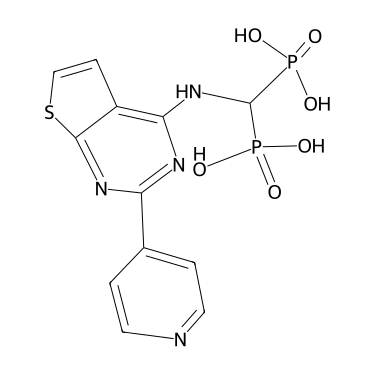 O=P(O)(O)C(Nc1nc(-c2ccncc2)nc2sccc12)P(=O)(O)O